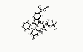 COC(=O)c1ccc2c(C3CCCCC3)c3n(c2c1)C[C@@]1(C(=O)OC(C)(C)C)C[C@H]1c1cc(F)ccc1-3